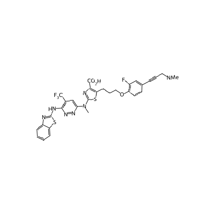 CNCC#Cc1ccc(OCCCc2sc(N(C)c3cc(C(F)(F)F)c(Nc4nc5ccccc5s4)nn3)nc2C(=O)O)c(F)c1